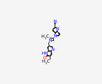 CCc1cc2ncc(CN3C[C@H](n4ccc5nc(C#N)ccc54)[C@H]3C)cc2[nH]c1=O